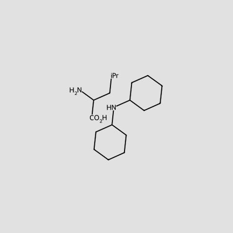 C1CCC(NC2CCCCC2)CC1.CC(C)CC(N)C(=O)O